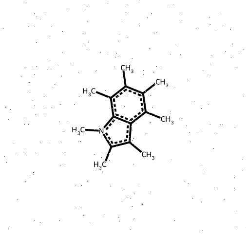 Cc1c(C)c(C)c2c(c1C)c(C)c(C)n2C